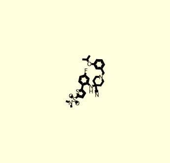 CC(C)Oc1cccc(CN2CCC(C#N)(Nc3cc(F)ccc3-c3ccc(S(=O)(=O)N(C)C)s3)CC2)c1